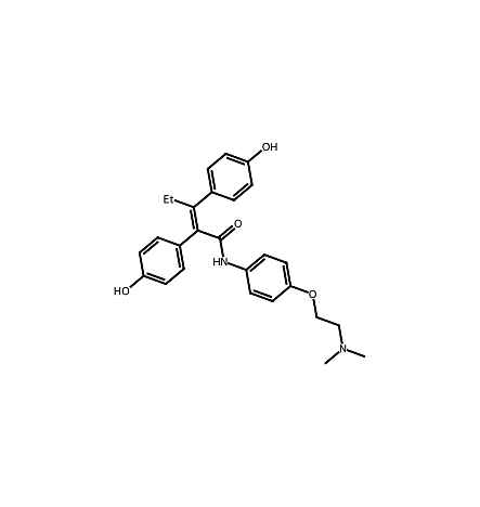 CCC(=C(C(=O)Nc1ccc(OCCN(C)C)cc1)c1ccc(O)cc1)c1ccc(O)cc1